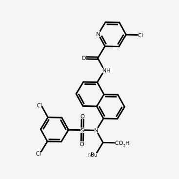 CCCCC(C(=O)O)N(c1cccc2c(NC(=O)c3cc(Cl)ccn3)cccc12)S(=O)(=O)c1cc(Cl)cc(Cl)c1